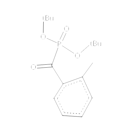 Cc1ccccc1C(=O)P(=O)(OC(C)(C)C)OC(C)(C)C